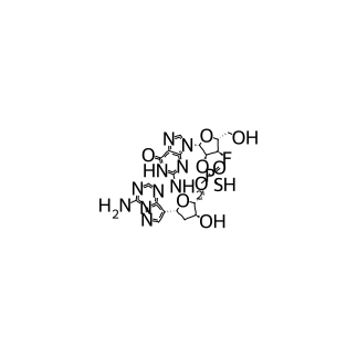 Nc1nc2c(ncn2[C@@H]2O[C@H](CO)[C@@H](F)[C@H]2OP(=O)(S)OC[C@H]2O[C@@H](c3cnn4c(N)ncnc34)C[C@@H]2O)c(=O)[nH]1